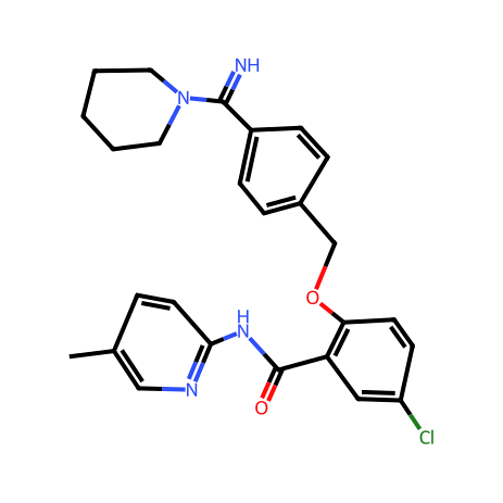 Cc1ccc(NC(=O)c2cc(Cl)ccc2OCc2ccc(C(=N)N3CCCCC3)cc2)nc1